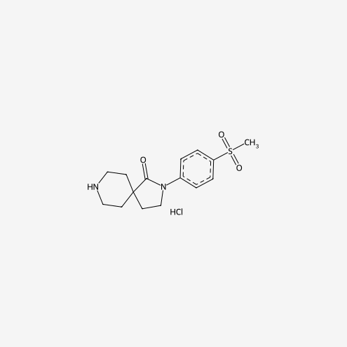 CS(=O)(=O)c1ccc(N2CCC3(CCNCC3)C2=O)cc1.Cl